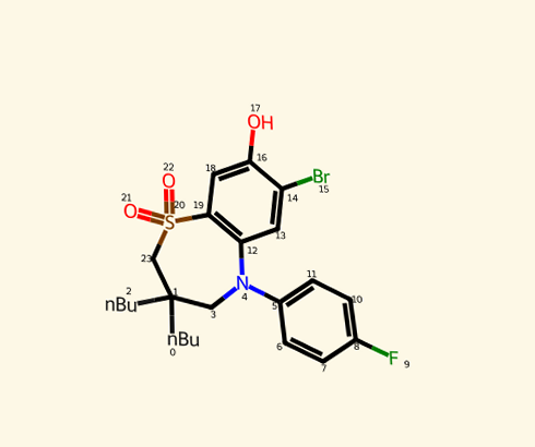 CCCCC1(CCCC)CN(c2ccc(F)cc2)c2cc(Br)c(O)cc2S(=O)(=O)C1